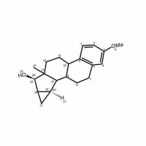 COc1ccc2c(c1)CCC1C2CCC2(C)C1[C@H]1CC1[C@H]2O